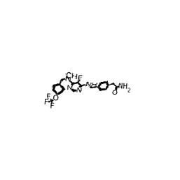 CN(Cc1ccc(OC(F)(F)F)cc1)c1ncnc(NCc2ccc(CC(N)=O)cc2)c1F